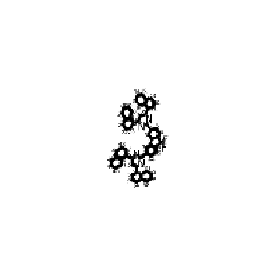 FC1(F)c2ccc(-c3nc(-c4cccc5ccccc45)cc(-c4cccc5ccccc45)n3)cc2-c2cc(-c3nc(-c4cccc5ccccc45)cc(-c4cccc5ccccc45)n3)ccc21